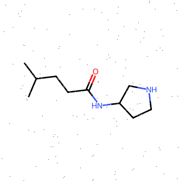 CC(C)CCC(=O)NC1CCNC1